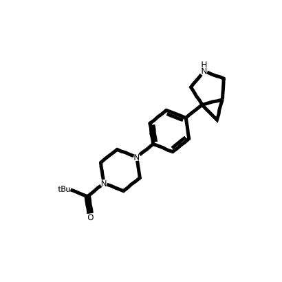 CC(C)(C)C(=O)N1CCN(c2ccc(C34CNCC3C4)cc2)CC1